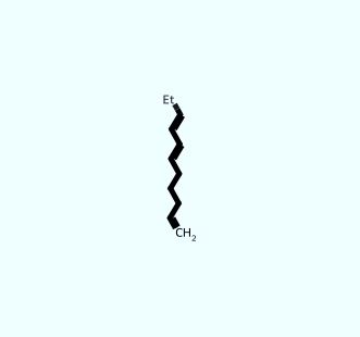 C=CCCCC=CC=CCC